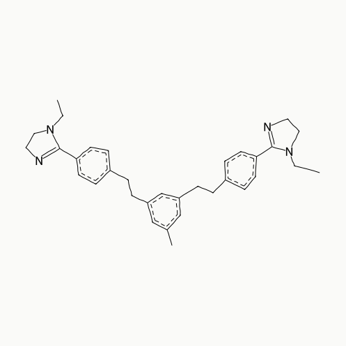 CCN1CCN=C1c1ccc(CCc2cc(C)cc(CCc3ccc(C4=NCCN4CC)cc3)c2)cc1